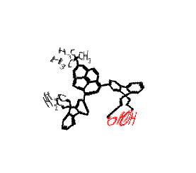 C=CC1(C=C)c2ccccc2-c2ccc(-c3cc(-c4ccc5c(c4)C(CCCO)(CCCO)c4ccccc4-5)c4ccc5cc(C(C)(C)C)cc6ccc3c4c65)cc21